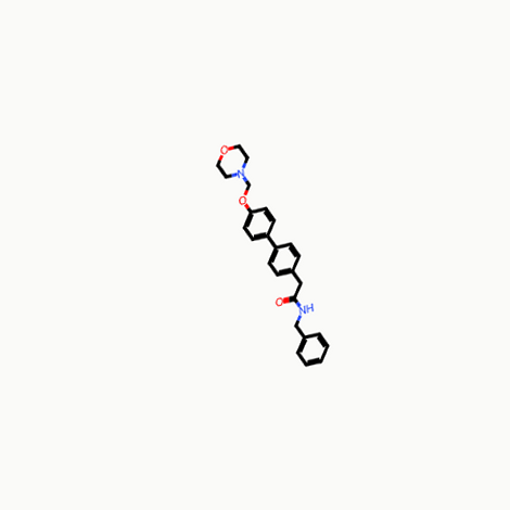 O=C(Cc1ccc(-c2ccc(OCN3CCOCC3)cc2)cc1)NCc1ccccc1